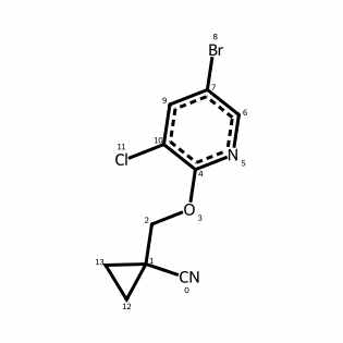 N#CC1(COc2ncc(Br)cc2Cl)CC1